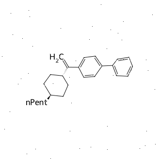 C=C(c1ccc(-c2ccccc2)cc1)[C@H]1CC[C@H](CCCCC)CC1